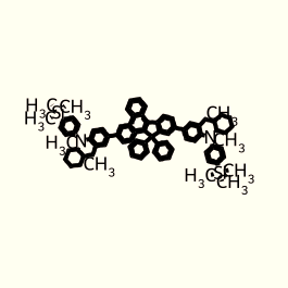 CC12CCCCC1(C)N(c1ccc([Si](C)(C)C)cc1)c1ccc(-c3ccc4c(c3)C(c3ccccc3)(c3ccccc3)c3c-4c4ccccc4c4cc(-c5ccc6c(c5)CC5(C)CCCCC5(C)N6c5ccc([Si](C)(C)C)cc5)ccc34)cc1C2